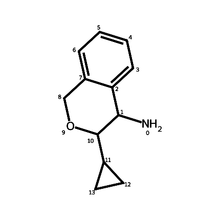 NC1c2ccccc2COC1C1CC1